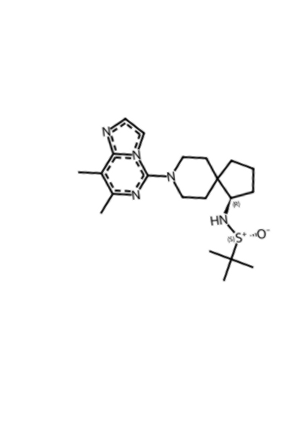 Cc1nc(N2CCC3(CCC[C@H]3N[S@+]([O-])C(C)(C)C)CC2)n2ccnc2c1C